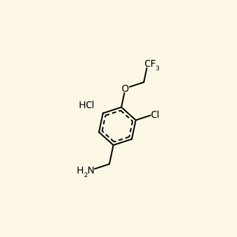 Cl.NCc1ccc(OCC(F)(F)F)c(Cl)c1